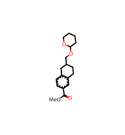 COC(=O)c1ccc2c(c1)CCC(COC1CCCCO1)C2